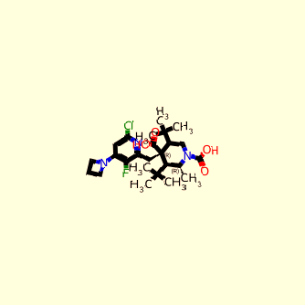 C[C@@H]1C(C(C)(C)C)[C@](Cc2nc(Cl)cc(N3CCC3)c2F)(C(=O)O)C(C(C)(C)C)CN1C(=O)O